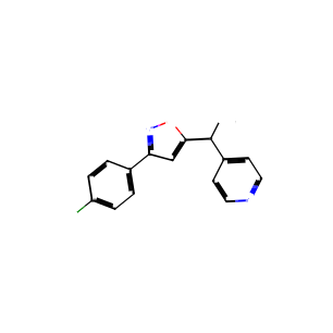 CC(c1ccncc1)c1cc(-c2ccc(F)cc2)no1